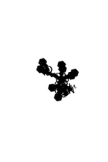 CC(=O)O[C@@H]1[C@@H](N=[N+]=[N-])[C@@H](O[C@@H]2[C@H](OCc3ccc4ccccc4c3)[C@@H](OCc3ccc4ccccc4c3)[C@@H](OCCCCCN(Cc3ccccc3)C(=O)OCc3ccccc3)O[C@@H]2COCc2ccccc2)O[C@@H]2CO[C@H](c3ccccc3)O[C@H]12